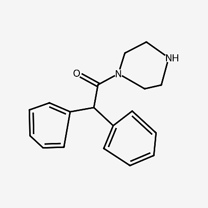 O=C(C(c1ccccc1)c1ccccc1)N1CCNCC1